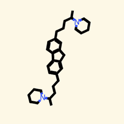 CC(CCCc1ccc2c(c1)Cc1cc(CCCC(C)N3CCCCC3)ccc1-2)N1CCCCC1